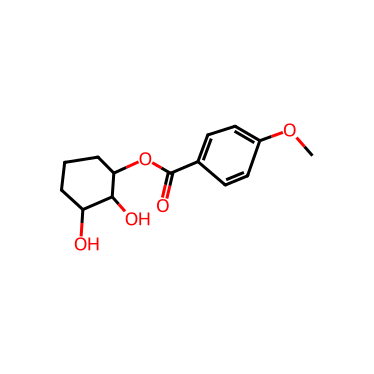 COc1ccc(C(=O)OC2CCCC(O)C2O)cc1